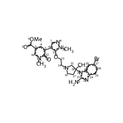 COC(=O)c1cc(-c2cnn(C)c2OCCN2CCC(C)(n3c(N)nc4ccc(Br)cc43)C2)c(=O)n(C)c1